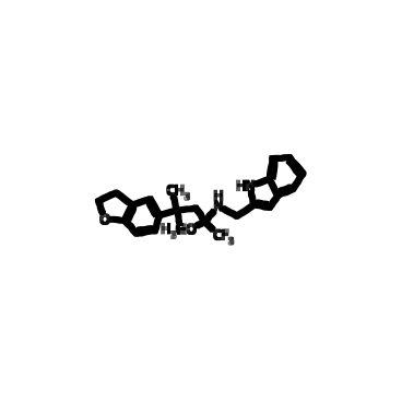 CC(C)(CC(O)(NCc1cc2ccccc2[nH]1)C(F)(F)F)c1ccc2c(c1)CCO2